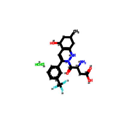 CC1CC2=C(C=C(c3cccc(C(F)(F)F)c3)N(C(=O)[C@@H](N)CC(=O)O)N2)C(O)C1.Cl.Cl